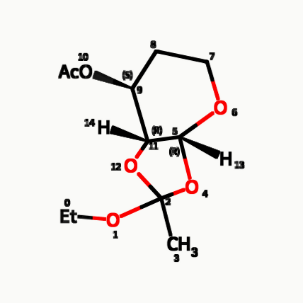 CCOC1(C)O[C@H]2OCC[C@H](OC(C)=O)[C@H]2O1